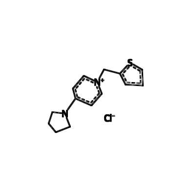 [Cl-].c1csc(C[n+]2ccc(N3CCCC3)cc2)c1